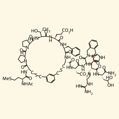 CSCC[C@H](NC(C)=O)C(=O)N[C@H]1CSCc2cccc(c2)CSC[C@@H](C(=O)N[C@@H](CC(=O)O)C(=O)N[C@@H](Cc2c[nH]cn2)C(=O)N2Cc3ccccc3C[C@H]2C(=O)N[C@@H](CCCNC(=N)N)C(=O)N[C@@H](CC(O)O)C(N)=O)NC(=O)[C@H](Cc2ccccc2)NC(=O)[C@H](CCC(=O)O)NC(=O)[C@H]([C@@H](C)O)NC(=O)[C@@H]2CCCN2C(=O)[C@@H]2CCCN2C1=O